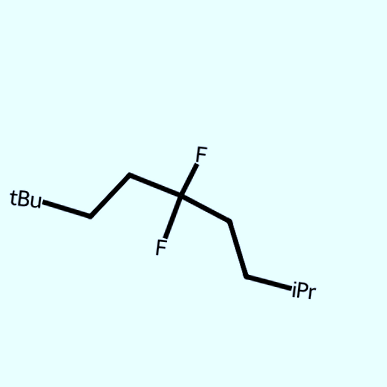 CC(C)CCC(F)(F)CCC(C)(C)C